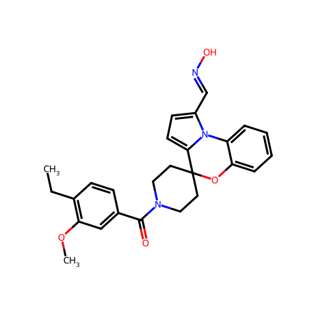 CCc1ccc(C(=O)N2CCC3(CC2)Oc2ccccc2-n2c(C=NO)ccc23)cc1OC